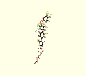 C=COCCCC1CCC(c2ccc(-c3cc(F)c(-c4cc(F)c(C(F)(F)Oc5cc(F)c(F)c(F)c5)c(F)c4)c(Cl)c3)c(F)c2)OC1